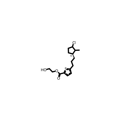 CC1C(Cl)CC[C@@H]1CCCc1ccc(C(=O)OCCO)s1